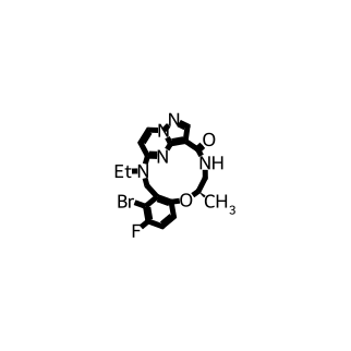 CCN1Cc2c(ccc(F)c2Br)O[C@@H](C)CNC(=O)c2cnn3ccc1nc23